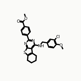 COC(=O)c1ccc(-c2nc(NCc3ccc(OC)c(Cl)c3)c3c4c(sc3n2)CCCC4)cc1